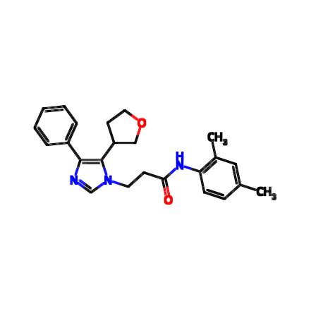 Cc1ccc(NC(=O)CCn2cnc(-c3ccccc3)c2C2CCOC2)c(C)c1